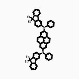 CCC1(CC)c2ccccc2-c2cc(N(c3ccccc3)c3cc4ccc5cc(N(c6ccccc6)c6ccc7c(c6)-c6ccccc6C7(CC)CC)cc6ccc(c3)c4c56)ccc21